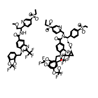 CCS(=O)(=O)c1ccc(C(COC)NC(=O)c2ccc3c(c2)nc(C(F)(F)F)n3Cc2cccc3c2OC(F)(F)O3)nc1.CCS(=O)(=O)c1ccc([C@H](COC)N(Cc2ccc(S(=O)(=O)CC)cn2)C(=O)c2ccc3c(c2)N[C@](C(F)(F)F)(C2(F)CC2)[N+]3(Cc2cccc3c2OC(F)(F)O3)Cc2cccc3c2OC(F)(F)O3)cc1